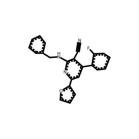 N#Cc1c(-c2ccccc2F)cc(-c2ccco2)nc1NCc1ccccc1